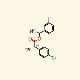 [CH2]c1cccc([C](C#N)OC(=O)[C@H](c2ccc(Cl)cc2)C(C)C)c1